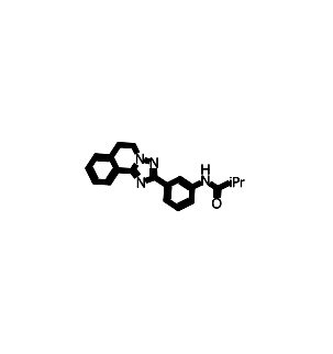 CC(C)C(=O)Nc1cccc(-c2nc3n(n2)CCc2ccccc2-3)c1